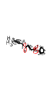 C[Si](C)(C)CCCOC(=O)C=CC(=O)OC1CCCCC1